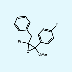 CCC1(Cc2ccccc2)OC1(OC)c1ccc(F)cc1